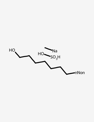 CCCCCCCCCCCCCCCCO.O=S(=O)(O)O.[CH3][Na]